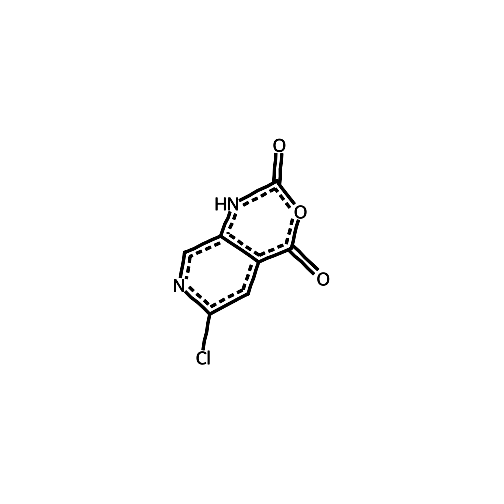 O=c1[nH]c2cnc(Cl)cc2c(=O)o1